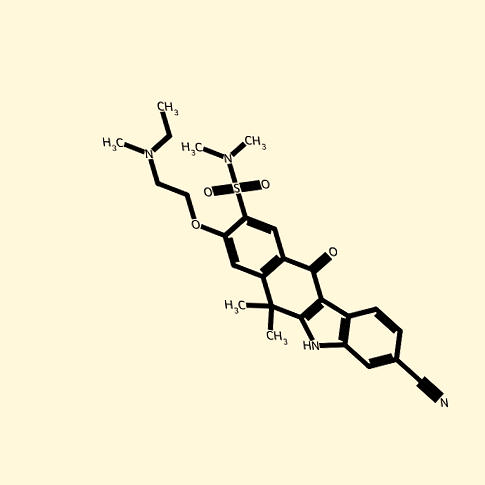 CCN(C)CCOc1cc2c(cc1S(=O)(=O)N(C)C)C(=O)c1c([nH]c3cc(C#N)ccc13)C2(C)C